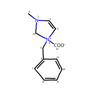 CN1C=C[N+](Cc2ccccc2)(C(=O)[O-])C1